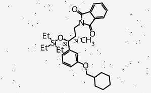 CC[Si](CC)(CC)O[C@H](c1cccc(OCC2CCCCC2)c1)[C@@H](C)CN1C(=O)c2ccccc2C1=O